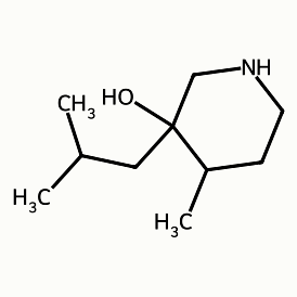 CC(C)CC1(O)CNCCC1C